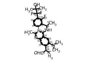 Cc1nc(N[C@H](C)c2cccc(C(F)(F)C(C)(C)O)c2F)c2cc(N(C)C)c(C(C)C=O)cc2n1